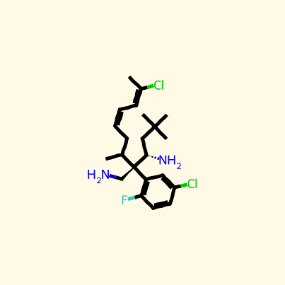 C/C(Cl)=C\C=C/CC(C)[C@@](CN)(c1cc(Cl)ccc1F)[C@@H](N)CC(C)(C)C